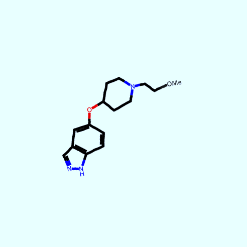 COCCN1CCC(Oc2ccc3[nH]ncc3c2)CC1